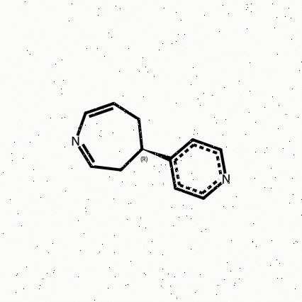 C1=CN=CC[C@H](c2ccncc2)C1